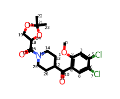 COc1cc(Cl)c(Cl)cc1C(=O)C1CCN(C(=O)C2COC(C)(C)O2)CC1